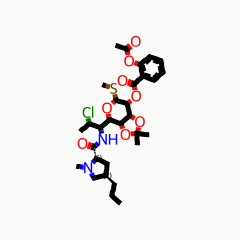 CCC[C@@H]1C[C@@H](C(=O)NC(C(C)Cl)C2OC(SC)C(OC(=O)c3ccccc3OC(C)=O)C3OC(C)(C)OC23)N(C)C1